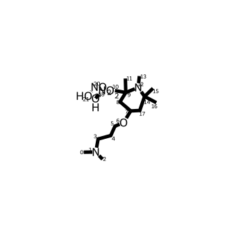 CN(C)CCCOC1CC(C)(C)N(C)C(C)(C)C1.O=[N+]([O-])O.O=[N+]([O-])O